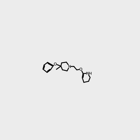 CC1(Oc2ccccc2)CCN(CCOC2=CCCCN2)CC1